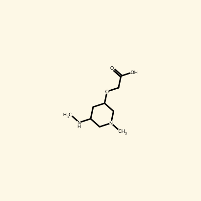 CNC1CC(OCC(=O)O)CN(C)C1